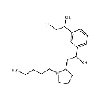 CCCCCN1CCCC1CC(O)c1cccc(C(C)CC)c1